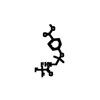 COC(=O)c1ccc(OC(C)(C)CNC(=O)C(F)(F)F)cc1